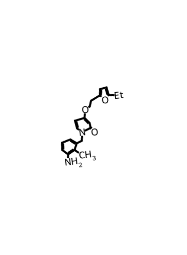 CCc1ccc(CCOc2ccn(Cc3cccc(N)c3C)c(=O)c2)o1